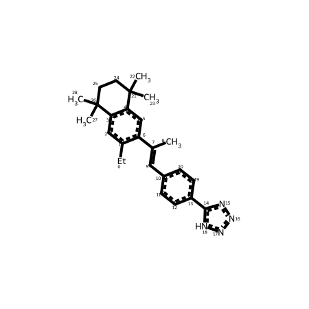 CCc1cc2c(cc1C(C)=Cc1ccc(-c3nnn[nH]3)cc1)C(C)(C)CCC2(C)C